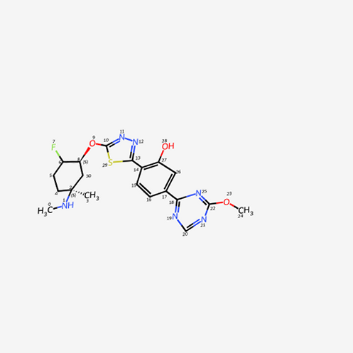 CN[C@@]1(C)CCC(F)[C@@H](Oc2nnc(-c3ccc(-c4ncnc(OC)n4)cc3O)s2)C1